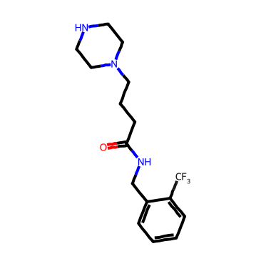 O=C(CCCN1CCNCC1)NCc1ccccc1C(F)(F)F